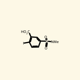 CNS(=O)(=O)c1ccc(I)c(C(=O)O)c1